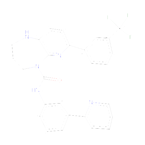 O=C(Nc1cccc(-c2ccccn2)c1)N1CCCNc2ccc(-c3cccc(C(F)(F)F)c3)nc21